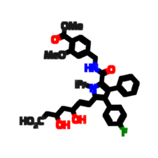 COC(=O)c1ccc(CNC(=O)c2c(-c3ccccc3)c(-c3ccc(F)cc3)c(/C=C/C(O)CC(O)CC(=O)O)n2C(C)C)cc1OC